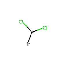 Cl[CH](Cl)[Ir]